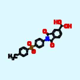 Cc1ccc(S(=O)(=O)c2ccc(N3C(=O)c4ccc(C(O)O)cc4C3=O)cc2)cc1